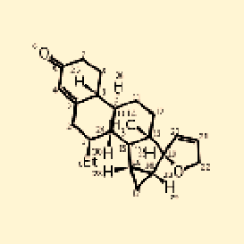 CC[C@H]1CC2=CC(=O)CC[C@@H]2[C@H]2CC[C@@]3(C)[C@@H]([C@H]4C[C@H]4[C@@]34C=CCO4)[C@H]12